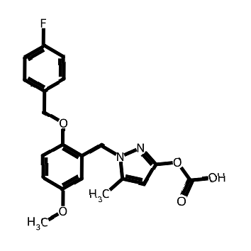 COc1ccc(OCc2ccc(F)cc2)c(Cn2nc(OC(=O)O)cc2C)c1